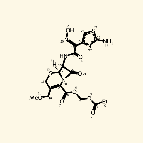 CCC(=O)OCOC(=O)C1=C(COC)CS[C@H]2C(NC(=O)C(=NO)c3csc(N)n3)C(=O)N12